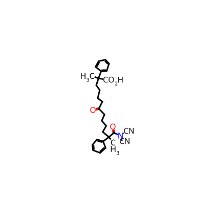 CC(CCCCC(=O)CCCCC(C)(C(=O)N(C#N)C#N)c1ccccc1)(C(=O)O)c1ccccc1